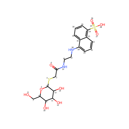 O=C(CSC1OC(CO)C(O)C(O)C1O)NCCNc1cccc2c(S(=O)(=O)O)cccc12